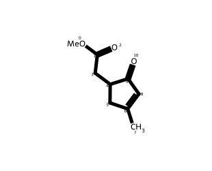 COC(=O)CC1CC(C)=CC1=O